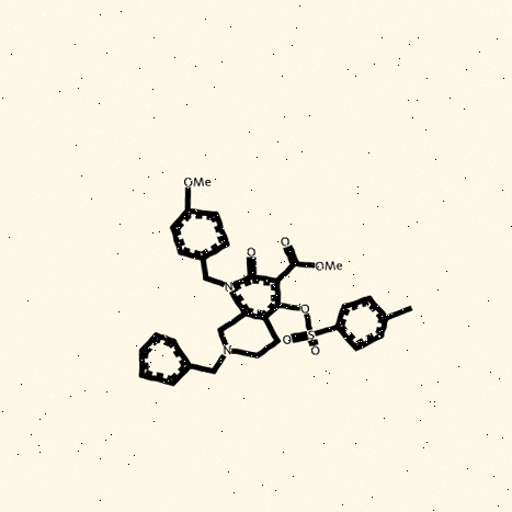 COC(=O)c1c(OS(=O)(=O)c2ccc(C)cc2)c2c(n(Cc3ccc(OC)cc3)c1=O)CN(Cc1ccccc1)CC2